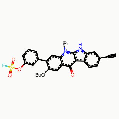 C#Cc1ccc2c(c1)[nH]c1c2c(=O)c2cc(OCC(C)C)c(-c3cccc(OS(=O)(=O)F)c3)cc2n1C(C)C